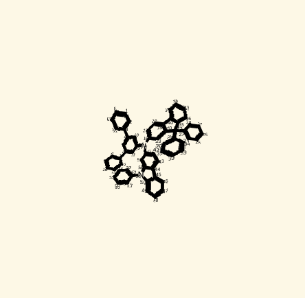 c1ccc(-c2cc(-c3ccccc3)cc(N(c3ccc4c(c3)C(c3ccccc3)(c3ccccc3)c3ccccc3-4)c3ccc4c5ccccc5n(-c5ccccc5)c4c3)c2)cc1